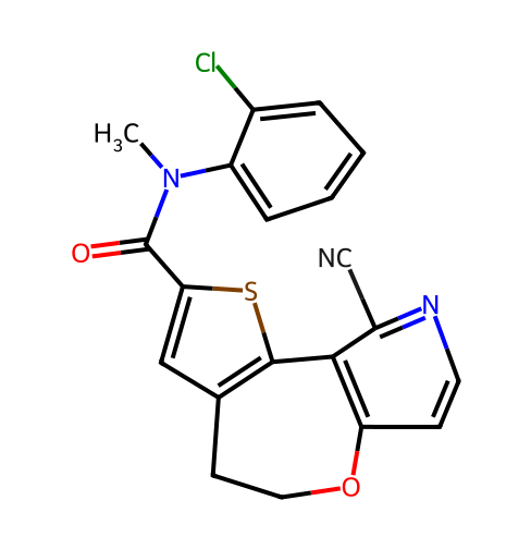 CN(C(=O)c1cc2c(s1)-c1c(ccnc1C#N)OCC2)c1ccccc1Cl